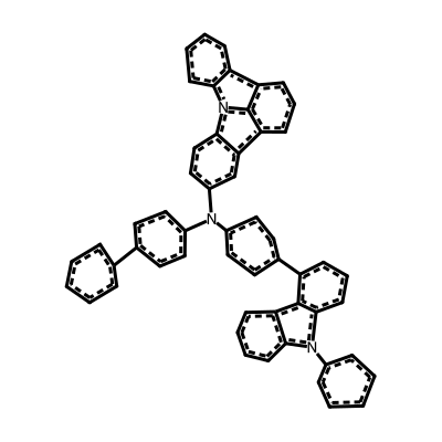 c1ccc(-c2ccc(N(c3ccc(-c4cccc5c4c4ccccc4n5-c4ccccc4)cc3)c3ccc4c(c3)c3cccc5c6ccccc6n4c53)cc2)cc1